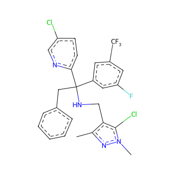 Cc1nn(C)c(Cl)c1CNC(Cc1ccccc1)(c1cc(F)cc(C(F)(F)F)c1)c1ccc(Cl)cn1